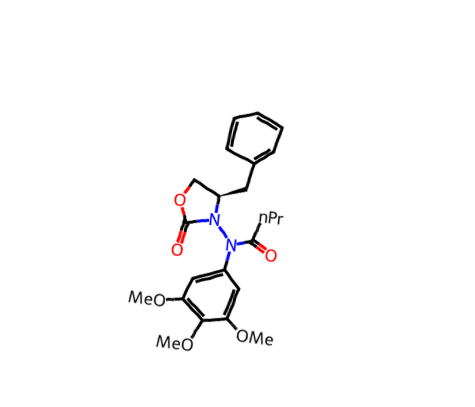 CCCC(=O)N(c1cc(OC)c(OC)c(OC)c1)N1C(=O)OC[C@H]1Cc1ccccc1